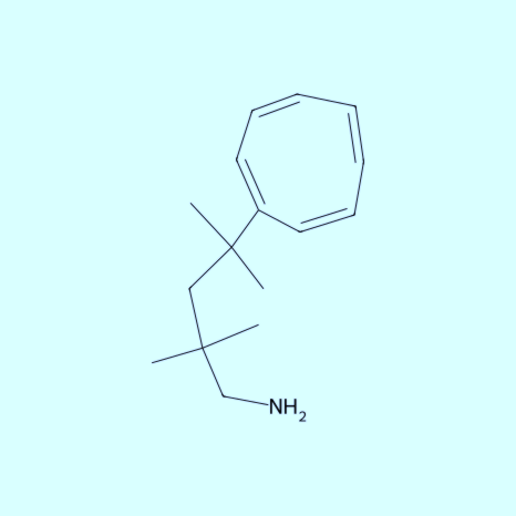 CC(C)(CN)CC(C)(C)C1=C/C=C\C=C/C=C\1